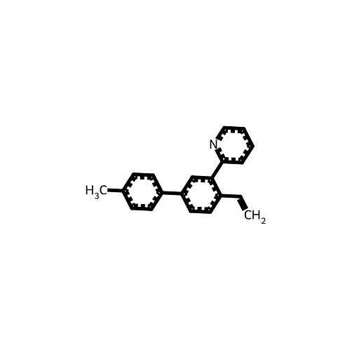 C=Cc1ccc(-c2ccc(C)cc2)cc1-c1ccccn1